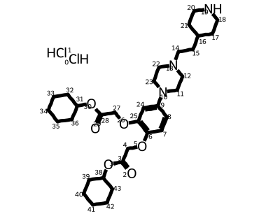 Cl.Cl.O=C(COc1ccc(N2CCN(CCC3CCNCC3)CC2)cc1OCC(=O)OC1CCCCC1)OC1CCCCC1